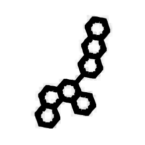 c1ccc2cc3cc(-c4cc5ccc6ccccc6c5c5ccccc45)ccc3cc2c1